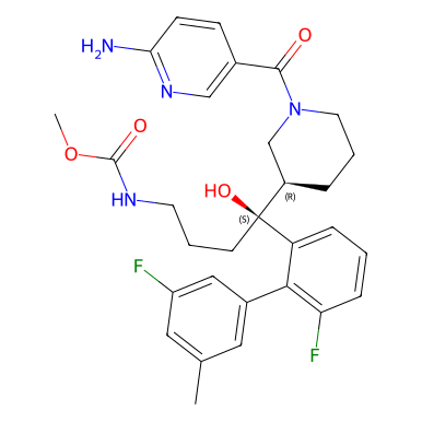 COC(=O)NCCC[C@@](O)(c1cccc(F)c1-c1cc(C)cc(F)c1)[C@@H]1CCCN(C(=O)c2ccc(N)nc2)C1